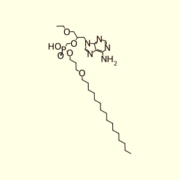 CCCCCCCCCCCCCCCCOCCCOP(=O)(O)COC(COCC)Cn1cnc2c(N)ncnc21